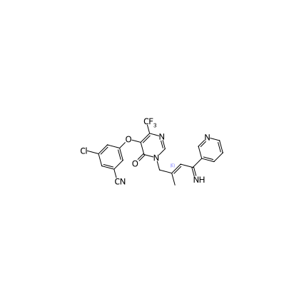 C/C(=C\C(=N)c1cccnc1)Cn1cnc(C(F)(F)F)c(Oc2cc(Cl)cc(C#N)c2)c1=O